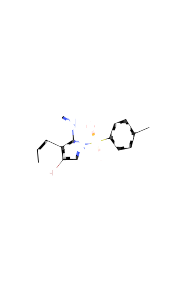 C=Nc1c(/C=C\C)c(Br)cn1S(=O)(=O)c1ccc(C)cc1